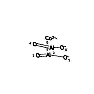 [Co+2].[O]=[Al][O-].[O]=[Al][O-]